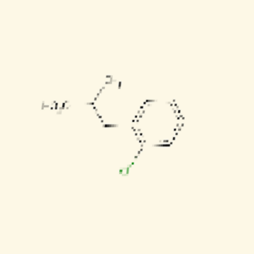 CC(Cc1ccccc1Cl)C(=O)O